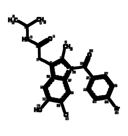 Cc1c(CC(=O)NC(C)C)c2cc(O)c(Cl)cc2n1C(=O)c1ccc(Br)cc1